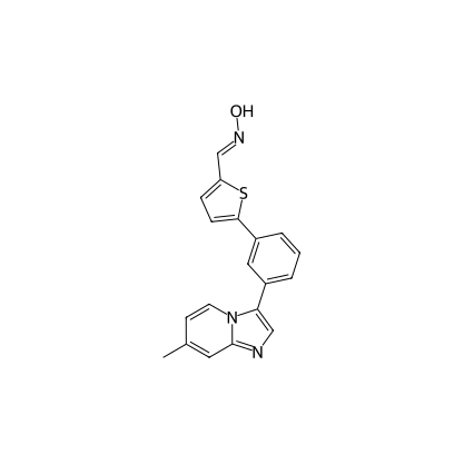 Cc1ccn2c(-c3cccc(-c4ccc(C=NO)s4)c3)cnc2c1